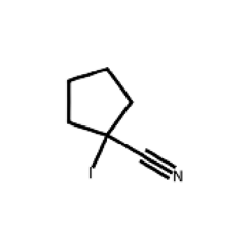 N#CC1(I)CCCC1